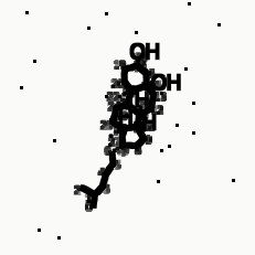 CC(C)CCCC[C@H]1CC[C@H]2[C@@H]3CCC4(O)C[C@@H](O)CC[C@]4(C)[C@H]3CC[C@]12C